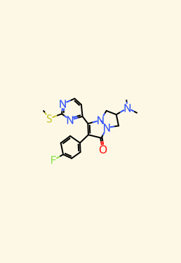 CSc1nccc(-c2c(-c3ccc(F)cc3)c(=O)n3n2CC(N(C)C)C3)n1